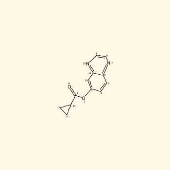 O=C(Oc1ccc2nccnc2c1)C1CC1